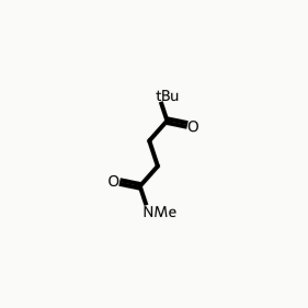 CNC(=O)CCC(=O)C(C)(C)C